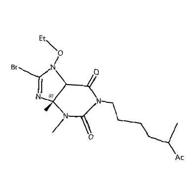 CCON1C(Br)=N[C@]2(C)C1C(=O)N(CCCCC(C)C(C)=O)C(=O)N2C